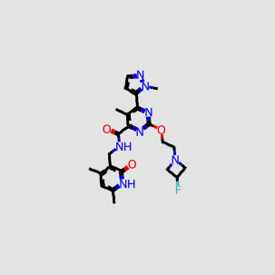 Cc1cc(C)c(CNC(=O)c2nc(OCCN3CC(F)C3)nc(-c3ccnn3C)c2C)c(=O)[nH]1